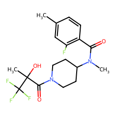 Cc1ccc(C(=O)N(C)C2CCN(C(=O)C(C)(O)C(F)(F)F)CC2)c(F)c1